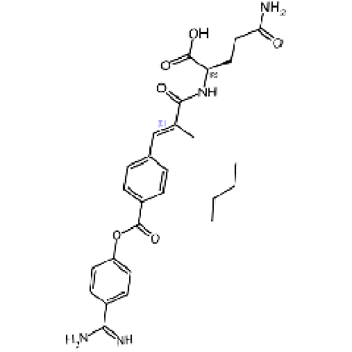 C/C(=C\c1ccc(C(=O)Oc2ccc(C(=N)N)cc2)cc1)C(=O)N[C@H](CCC(N)=O)C(=O)O.CCCC